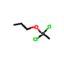 CCCO[Si](C)(Cl)Cl